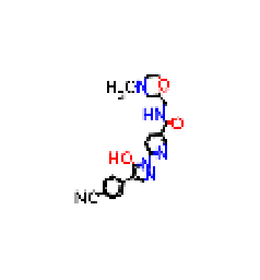 CN1CCOC(CNC(=O)c2ccc(-n3ncc(-c4ccc(C#N)cc4)c3O)nc2)C1